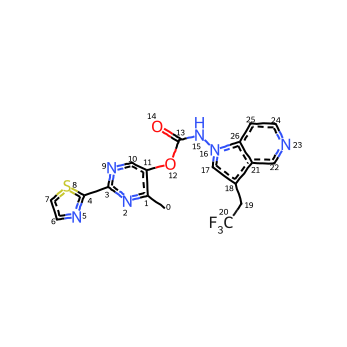 Cc1nc(-c2nccs2)ncc1OC(=O)Nn1cc(CC(F)(F)F)c2cnccc21